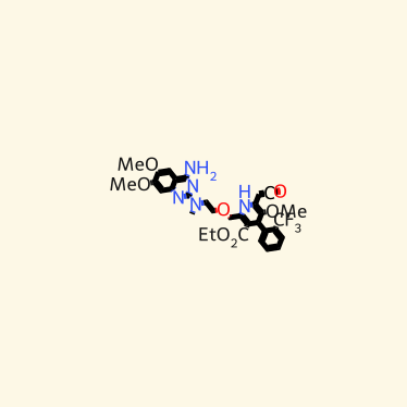 CCOC(=O)C1=C(COCCN(C)c2nc(N)c3cc(OC)c(OC)cc3n2)NC(C=C=O)=C(OC)C1c1ccccc1C(F)(F)F